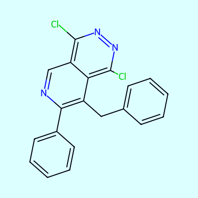 Clc1nnc(Cl)c2c(Cc3ccccc3)c(-c3ccccc3)ncc12